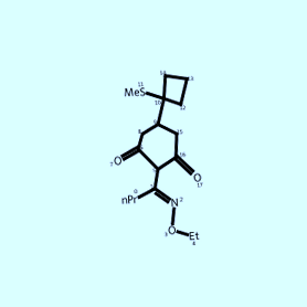 CCCC(=NOCC)C1C(=O)CC(C2(SC)CCC2)CC1=O